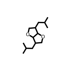 CC(C)CC1COC2C(CC(C)C)COC12